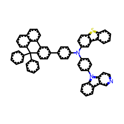 c1ccc(C2(c3ccccc3)c3ccc(-c4ccc(N(c5ccc(-n6c7ccccc7c7cnccc76)cc5)c5ccc6sc7ccccc7c6c5)cc4)cc3-c3cccc4cccc2c34)cc1